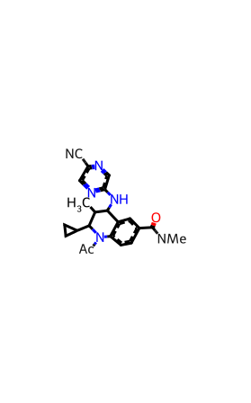 CNC(=O)c1ccc2c(c1)C(Nc1cnc(C#N)cn1)C(C)C(C1CC1)N2C(C)=O